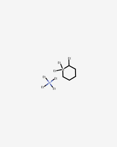 CCC1CCCC[Si]1(CC)CC.CC[N+](CC)(CC)CC